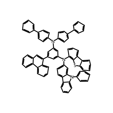 c1ccc(-c2ccc(N(c3ccc(-c4ccccc4)cc3)c3cc(-c4cc5ccccc5c5ccccc45)cc(N(c4ccc5c6ccccc6n(-c6ccccc6)c5c4)c4cccc5c4sc4ccccc45)c3)cc2)cc1